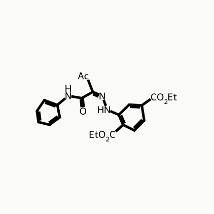 CCOC(=O)c1ccc(C(=O)OCC)c(N/N=C(/C(C)=O)C(=O)Nc2ccccc2)c1